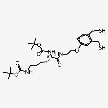 CC(C)(C)OC(=O)NCCCC[C@H](NC(=O)OC(C)(C)C)C(=O)NCCOc1ccc(CS)c(CS)c1